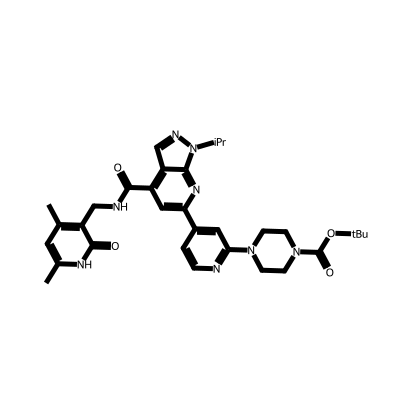 Cc1cc(C)c(CNC(=O)c2cc(-c3ccnc(N4CCN(C(=O)OC(C)(C)C)CC4)c3)nc3c2cnn3C(C)C)c(=O)[nH]1